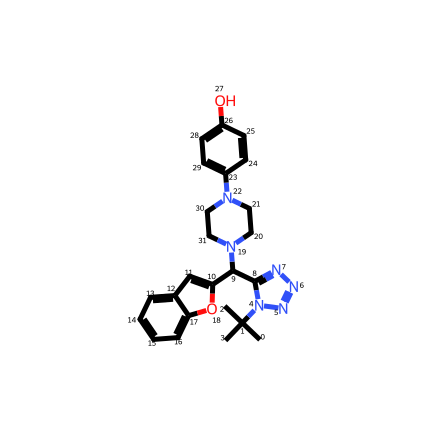 CC(C)(C)n1nnnc1C(c1cc2ccccc2o1)N1CCN(c2ccc(O)cc2)CC1